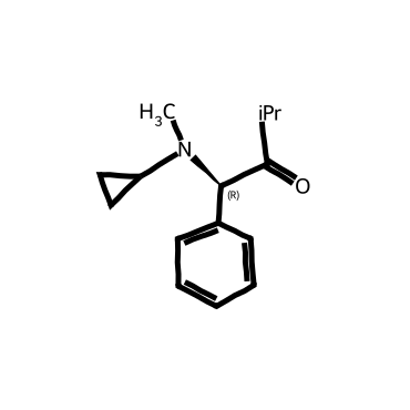 CC(C)C(=O)[C@@H](c1ccccc1)N(C)C1CC1